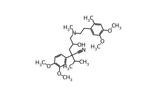 COc1ccc(C(C#N)(CC(O)CN(C)CCc2cc(OC)c(OC)cc2C)C(C)C)cc1OC